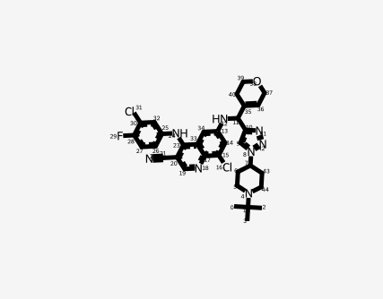 CC(C)(C)N1CCC(n2cc(C(Nc3cc(Cl)c4ncc(C#N)c(Nc5ccc(F)c(Cl)c5)c4c3)C3=CCOCC3)nn2)CC1